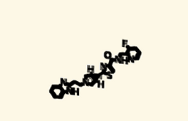 O=C(NCc1ncccc1F)c1csc([C@H]2[C@@H]3CN(CCc4nc5ccccc5[nH]4)C[C@@H]32)n1